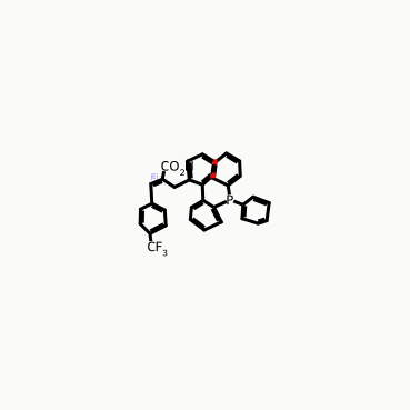 O=C(O)/C(=C/c1ccc(C(F)(F)F)cc1)Cc1ccccc1-c1ccccc1P(c1ccccc1)c1ccccc1